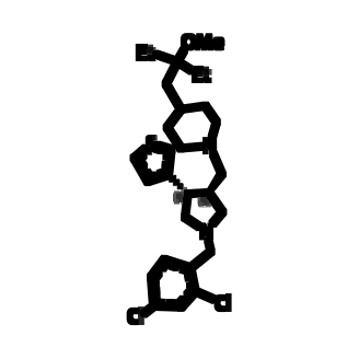 CCC(CC)(CC1CCN(C[C@H]2CN(Cc3ccc(Cl)cc3Cl)C[C@@H]2c2ccsc2)CC1)OC